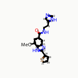 COc1cc(C(=O)NCCc2cnc[nH]2)cc2nc(-c3cccs3)[nH]c12